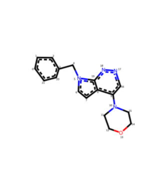 c1ccc(Cn2ccc3c(N4CCOCC4)cnnc32)cc1